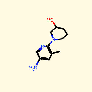 Cc1cc(N)cnc1N1CCCC(O)C1